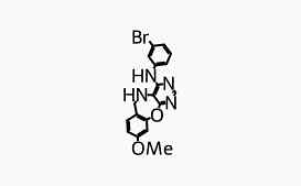 COc1ccc2c(c1)Oc1ncnc(Nc3cccc(Br)c3)c1NC2